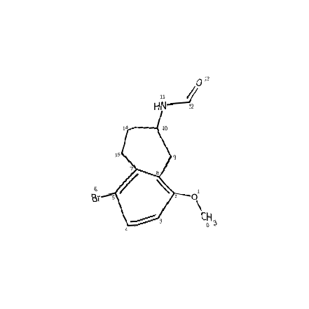 COc1ccc(Br)c2c1CC(NC=O)CC2